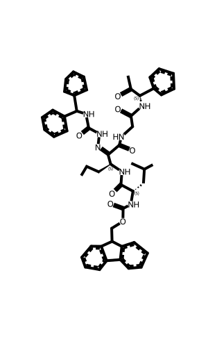 CCC[C@H](NC(=O)[C@H](CC(C)C)NC(=O)OCC1c2ccccc2-c2ccccc21)C(=NNC(=O)NC(c1ccccc1)c1ccccc1)C(=O)NCC(=O)N[C@H](C(C)=O)c1ccccc1